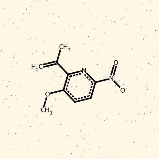 C=C(C)c1nc([N+](=O)[O-])ccc1OC